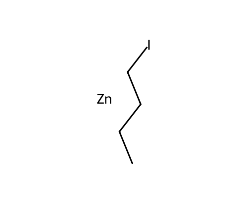 CCCCI.[Zn]